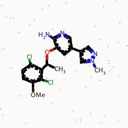 COc1ccc(Cl)c(C(C)Oc2cc(-c3cnn(C)c3)cnc2N)c1Cl